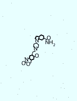 COc1cc2c(cc1CCN1CCC(n3ccc4ccc(C(N)=O)cc43)CC1)N(C)C(=O)OC2